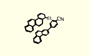 CCC1CC=CC2=C1CCc1c2ccc2ccccc12.N#Cc1ccc(-c2ccc3c(ccc4ccccc43)c2)cc1